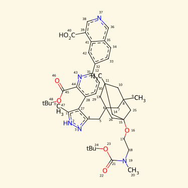 Cc1[nH]nc(CC23CC4(C)CC(C)(C2)CC(OCCN(C)C(=O)OC(C)(C)C)(C4)C3)c1-c1ccc(-c2ccc3cncc(C(=O)O)c3c2)nc1C(=O)OC(C)(C)C